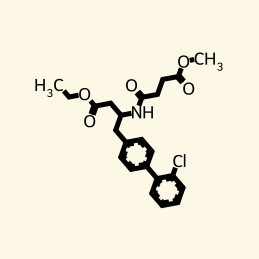 CCOC(=O)CC(Cc1ccc(-c2ccccc2Cl)cc1)NC(=O)CCC(=O)OC